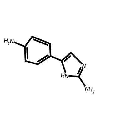 Nc1ccc(-c2cnc(N)[nH]2)cc1